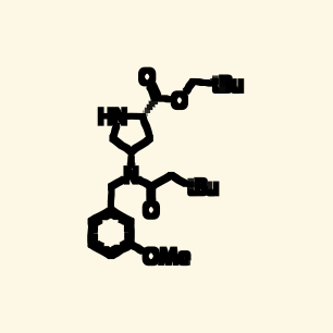 COc1cccc(CN(C(=O)CC(C)(C)C)[C@H]2CN[C@H](C(=O)OCC(C)(C)C)C2)c1